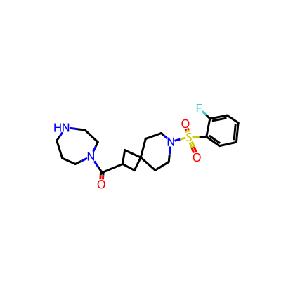 O=C(C1CC2(CCN(S(=O)(=O)c3ccccc3F)CC2)C1)N1CCCNCC1